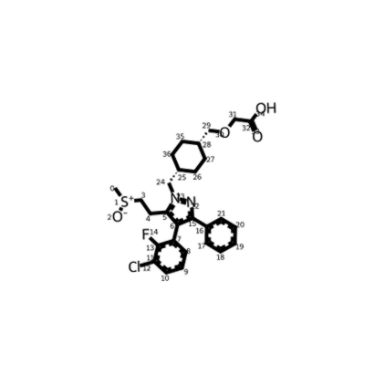 C[S+]([O-])CCc1c(-c2cccc(Cl)c2F)c(-c2ccccc2)nn1C[C@H]1CC[C@@H](COCC(=O)O)CC1